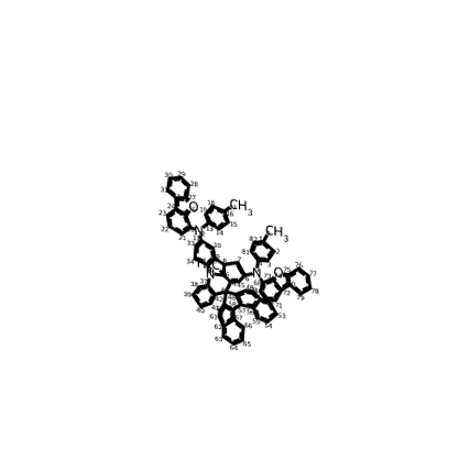 Cc1ccc(N(C2=CC3c4cc(N(c5ccc(C)cc5)c5cccc6c5oc5ccccc56)ccc4N4c5ccccc5C5(C(=C2)C34C)c2ccc3ccccc3c2-c2c5ccc3ccccc23)c2cccc3c2oc2ccccc23)cc1